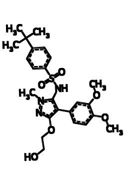 COc1ccc(-c2c(OCCO)nn(C)c2NS(=O)(=O)c2ccc(C(C)(C)C)cc2)cc1OC